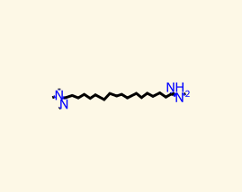 CN=C(N)CCCCCCCCCCCCCCCCC(=NC)N(C)C